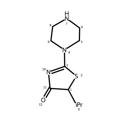 CC(C)C1SC(N2CCNCC2)=NC1=O